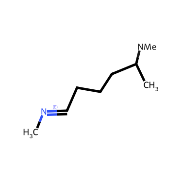 C/N=C/CCCC(C)NC